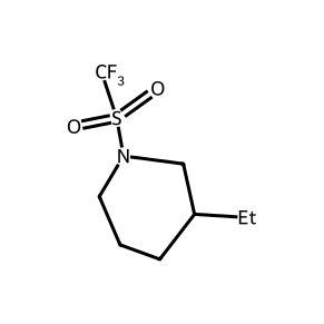 CCC1CCCN(S(=O)(=O)C(F)(F)F)C1